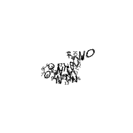 Cn1c(C2OCCCO2)cnc1-c1cc2nccc(Oc3ccc(N=O)cc3F)c2s1